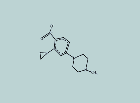 CN1CCN(c2ccc([N+](=O)[O-])c(C3CC3)c2)CC1